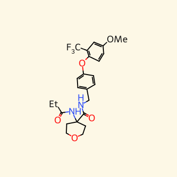 CCC(=O)NC1(C(=O)NCc2ccc(Oc3ccc(OC)cc3C(F)(F)F)cc2)CCOCC1